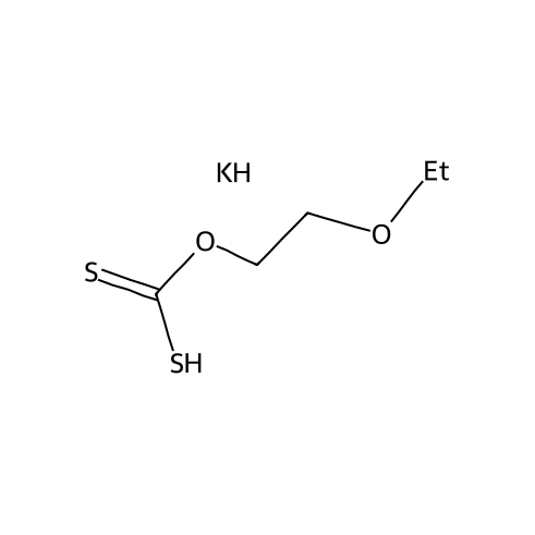 CCOCCOC(=S)S.[KH]